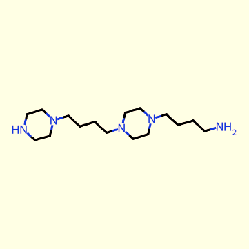 NCCCCN1CCN(CCCCN2CCNCC2)CC1